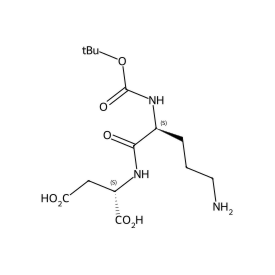 CC(C)(C)OC(=O)N[C@@H](CCCN)C(=O)N[C@@H](CC(=O)O)C(=O)O